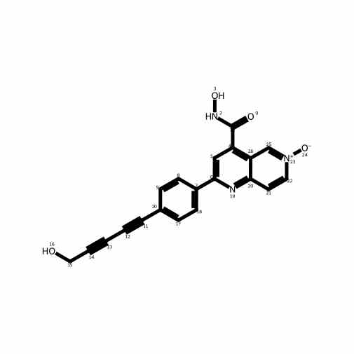 O=C(NO)c1cc(-c2ccc(C#CC#CCO)cc2)nc2cc[n+]([O-])cc12